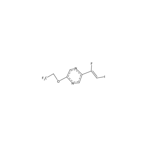 FC(=CI)c1cnc(OCC(F)(F)F)cn1